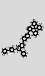 c1ccc(-c2ccc(-c3cc(-c4ccccc4)c4ccc(-c5ccc6cc(-c7cccc8c7-c7ccccc7C8(c7ccccc7)c7ccccc7)ccc6c5)cc4n3)cc2)cc1